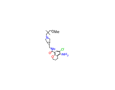 COCC(C)(C)CN1CC2C(CNC(=O)c3cc(Cl)c(N)c4c3OCCC4)C2C1